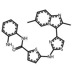 Cc1ccc2nc(C)c(-c3csc(Nc4ccc(C(=O)Nc5ccccc5N)s4)n3)n2c1